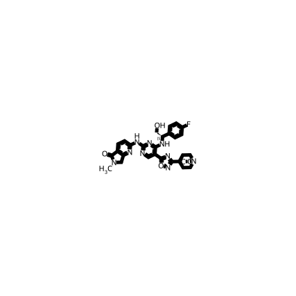 CN1Cc2nc(Nc3ncc(-c4nc(C56CCN(CC5)CC6)no4)c(N[C@H](CO)c4ccc(F)cc4)n3)ccc2C1=O